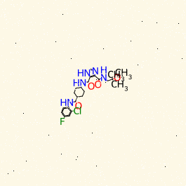 COC(C)(C)CNC(=O)c1nc[nH]c1C(=O)N[C@H]1CC[C@H](C(=O)Nc2ccc(F)cc2Cl)CC1